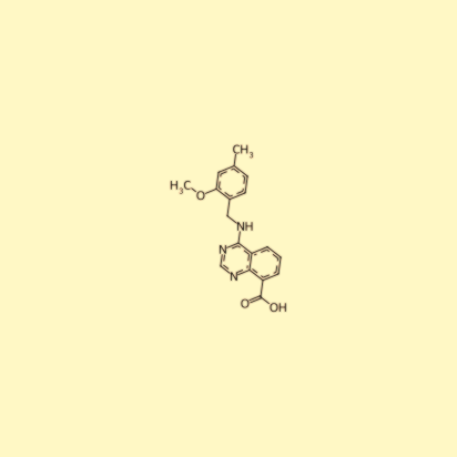 COc1cc(C)ccc1CNc1ncnc2c(C(=O)O)cccc12